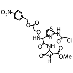 COC(=O)C1NC(=O)C1NC(=O)C(NOCC(=O)OCc1ccc([N+](=O)[O-])cc1)c1csc(NC(=O)CCl)n1